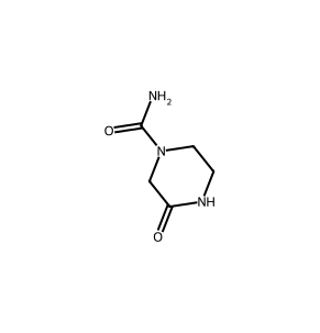 NC(=O)N1CCNC(=O)C1